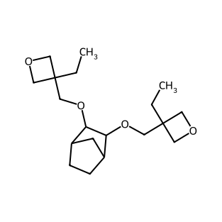 CCC1(COC2C3CCC(C3)C2OCC2(CC)COC2)COC1